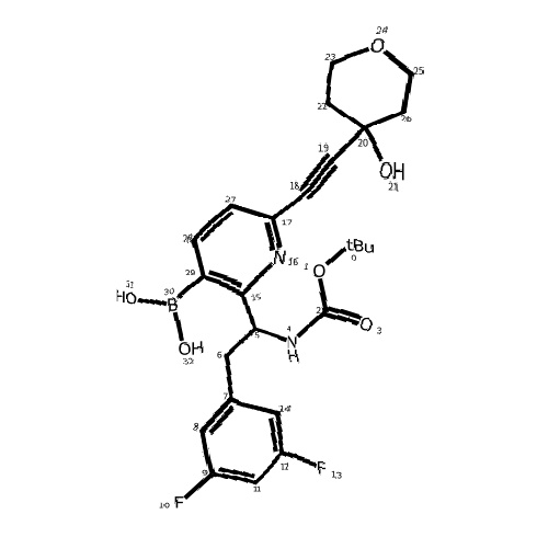 CC(C)(C)OC(=O)NC(Cc1cc(F)cc(F)c1)c1nc(C#CC2(O)CCOCC2)ccc1B(O)O